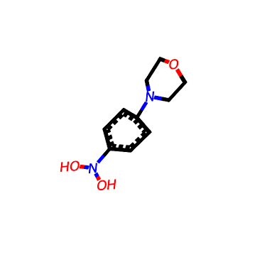 ON(O)c1ccc(N2CCOCC2)cc1